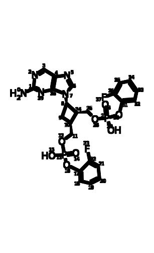 Nc1ncc2ncn([C@@H]3C[C@H](COP(=O)(O)Oc4ccccc4F)[C@@H]3COP(=O)(O)Oc3ccccc3F)c2n1